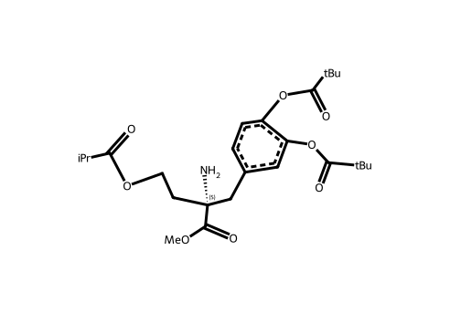 COC(=O)[C@@](N)(CCOC(=O)C(C)C)Cc1ccc(OC(=O)C(C)(C)C)c(OC(=O)C(C)(C)C)c1